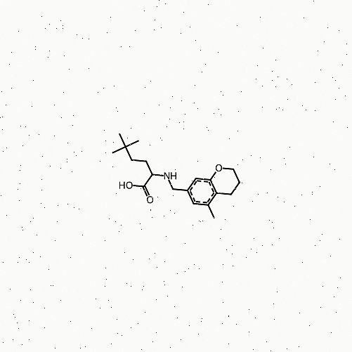 Cc1cc(CNC(CCC(C)(C)C)C(=O)O)cc2c1CCCO2